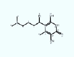 CCC(CCCN(C)C)c1c(O)[nH]c(=O)c(C#N)c1C